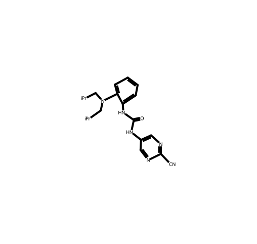 CC(C)CN(CC(C)C)c1ccccc1NC(=O)Nc1cnc(C#N)nc1